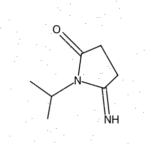 CC(C)N1C(=N)CCC1=O